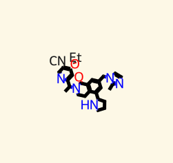 CCOc1cc(C(C)N2CCc3c(cc(Cn4ccnc4C)cc3C3CCCN3)C2=O)ncc1C#N